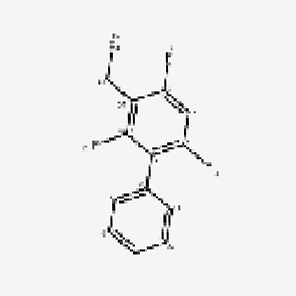 Fc1cc(F)c(-c2ccccc2)c(F)c1CBr